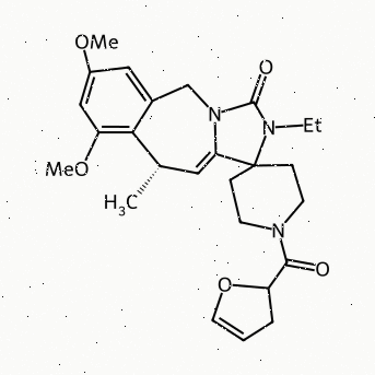 CCN1C(=O)N2Cc3cc(OC)cc(OC)c3[C@@H](C)C=C2C12CCN(C(=O)C1CC=CO1)CC2